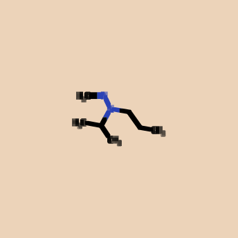 C=NN(CCC)C(C)C